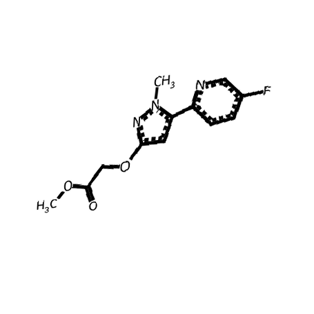 COC(=O)COc1cc(-c2ccc(F)cn2)n(C)n1